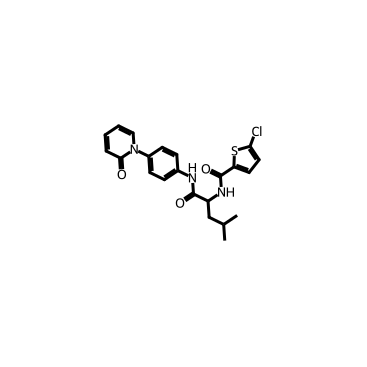 CC(C)CC(NC(=O)c1ccc(Cl)s1)C(=O)Nc1ccc(-n2ccccc2=O)cc1